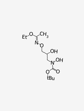 CCOC(C)=NOCC(O)CN(O)C(=O)OC(C)(C)C